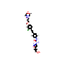 CC(C)(CO)c1cc(NC(=O)Nc2ccc(C#Cc3ccc(OCCC[N+]4([O-])CCOCC4)cc3F)cc2)no1